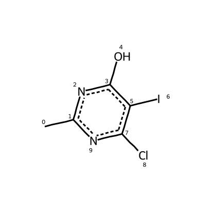 Cc1nc(O)c(I)c(Cl)n1